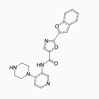 O=C(Nc1cnccc1N1CCNCC1)c1cnc(-c2cc3ccccc3o2)o1